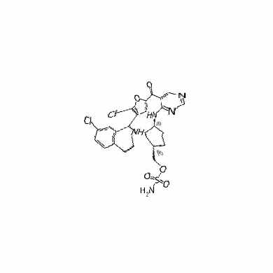 NS(=O)(=O)OC[C@@H]1CC[C@H](Nc2ncncc2C(=O)c2cc(C3NCCc4ccc(Cl)cc43)c(Cl)o2)C1